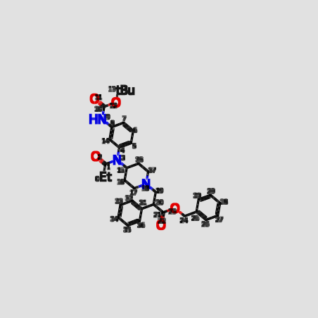 CCC(=O)N(c1cccc(NC(=O)OC(C)(C)C)c1)C1CCN(CC(C(=O)OCc2ccccc2)c2ccccc2)CC1